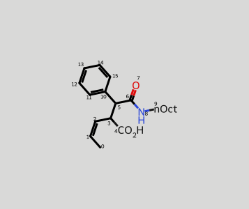 C/C=C\C(C(=O)O)C(C(=O)NCCCCCCCC)c1ccccc1